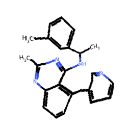 Cc1cccc(C(C)Nc2nc(C)nc3cccc(-c4cccnc4)c23)c1